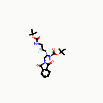 CC(C)(C)OC(=O)NC[C@@H](F)C[C@@H](CN1C(=O)c2ccccc2C1=O)NC(=O)OC(C)(C)C